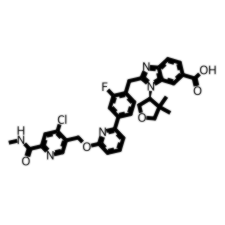 CNC(=O)c1cc(Cl)c(COc2cccc(-c3ccc(Cc4nc5ccc(C(=O)O)cc5n4[C@@H]4COCC4(C)C)c(F)c3)n2)cn1